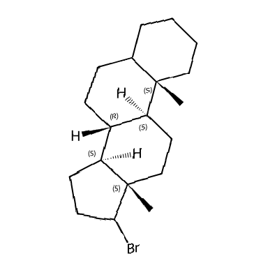 C[C@]12CCCCC1CC[C@@H]1[C@@H]2CC[C@]2(C)C(Br)CC[C@@H]12